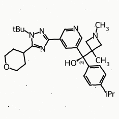 CC(C)c1ccc([C@](O)(c2cncc(-c3nc(C4CCOCC4)n(C(C)(C)C)n3)c2)C2(C)CN(C)C2)cc1